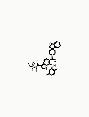 CCS(=O)(=O)NC(=O)c1cnn2c(Nc3cc(C)ccc3C)c(C(=O)N3CCC4(CC3)COc3ccccc34)cnc12